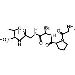 CCC(C)C(NC(=O)C1CCCN1C(=O)CN)C(=O)NCC(=O)NC(C(=O)O)C(C)O